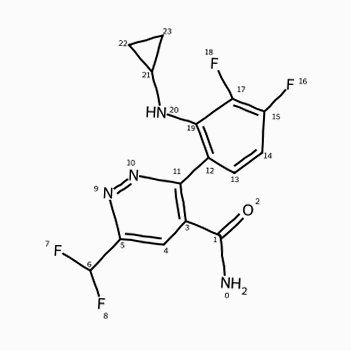 NC(=O)c1cc(C(F)F)nnc1-c1ccc(F)c(F)c1NC1CC1